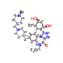 CCc1cc(-c2nnc(C(=O)NCC(F)(F)F)n2-c2ccc(CC3CCN(CC4CCN(C(C)=O)CC4)CC3)cc2)c(O)cc1O